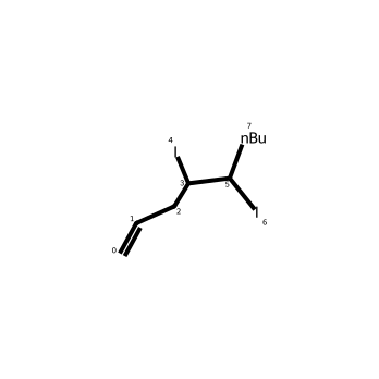 C=CCC(I)C(I)CCCC